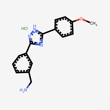 COc1ccc(-c2nc(-c3cccc(CN)c3)n[nH]2)cc1.Cl